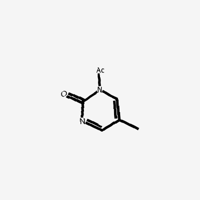 CC(=O)n1cc(C)cnc1=O